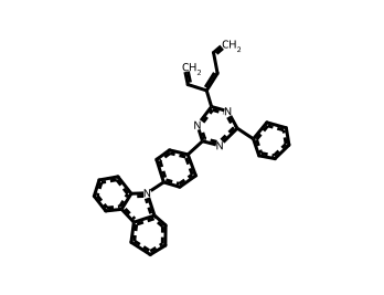 C=C/C=C(\C=C)c1nc(-c2ccccc2)nc(-c2ccc(-n3c4ccccc4c4ccccc43)cc2)n1